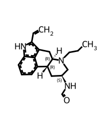 C=Cc1[nH]c2cccc3c2c1C[C@@H]1[C@@H]3C[C@H](NC=O)CN1CCC